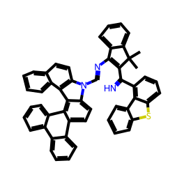 CC1(C)C(C(=N)c2cccc3sc4ccccc4c23)=C(/N=C/n2c3ccc4ccccc4c3c3c4c5ccccc5c5ccccc5c4ccc32)c2ccccc21